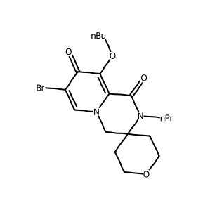 CCCCOc1c2n(cc(Br)c1=O)CC1(CCOCC1)N(CCC)C2=O